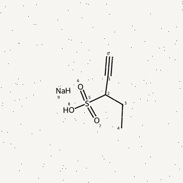 C#CC(CC)S(=O)(=O)O.[NaH]